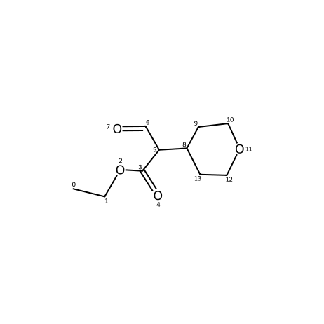 CCOC(=O)C(C=O)C1CCOCC1